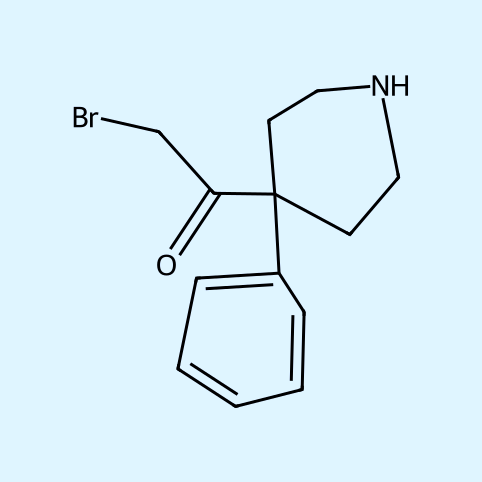 O=C(CBr)C1(c2ccccc2)CCNCC1